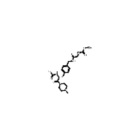 CCC(=O)N[C@H](Cc1ccc(CNC(=O)CNC(=O)OC(C)(C)C)cc1)C(=O)N1CCN(C)CC1